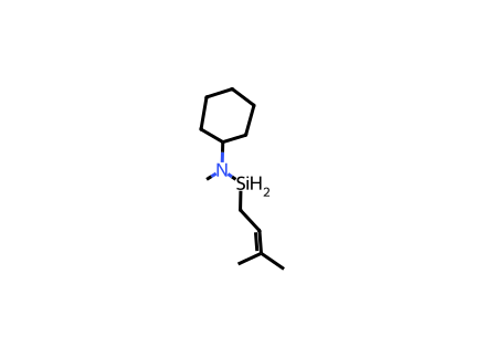 CC(C)=CC[SiH2]N(C)C1CCCCC1